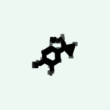 CNC1(c2ccc(Br)c(F)c2)CC1